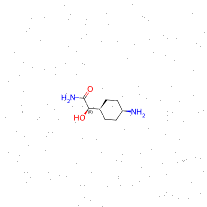 NC(=O)[C@H](O)[C@H]1CC[C@@H](N)CC1